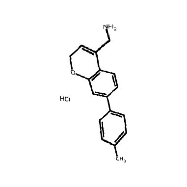 Cc1ccc(-c2ccc3c(c2)OCC=C3CN)cc1.Cl